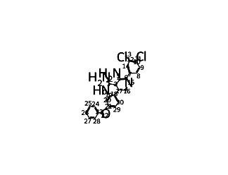 N=C(N)C1C(N)=C(c2ccc(Cl)c(Cl)c2)N=CC1c1ccc(Oc2ccccc2)cc1